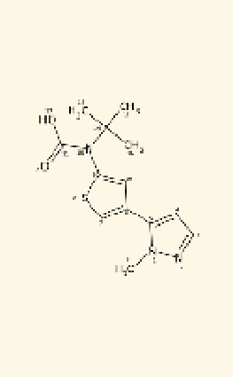 Cn1nccc1-c1csc(N(C(=O)O)C(C)(C)C)c1